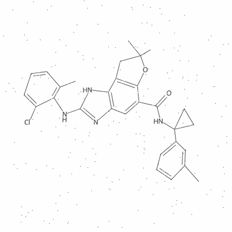 Cc1cccc(C2(NC(=O)c3cc4nc(Nc5c(C)cccc5Cl)[nH]c4c4c3OC(C)(C)C4)CC2)c1